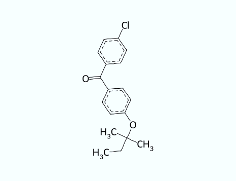 CCC(C)(C)Oc1ccc(C(=O)c2ccc(Cl)cc2)cc1